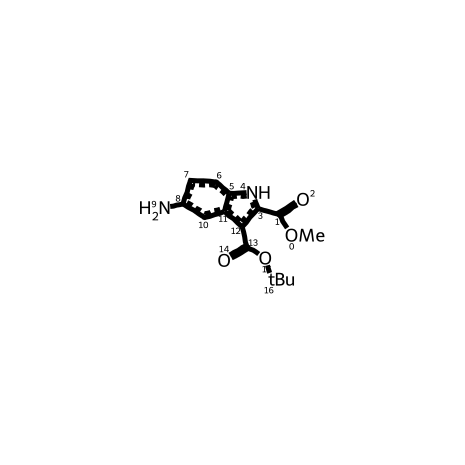 COC(=O)c1[nH]c2ccc(N)cc2c1C(=O)OC(C)(C)C